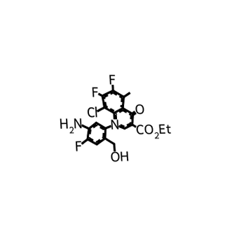 CCOC(=O)c1cn(-c2cc(N)c(F)cc2CO)c2c(Cl)c(F)c(F)c(C)c2c1=O